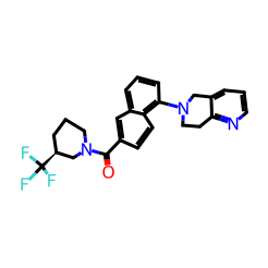 O=C(c1ccc2c(N3CCc4ncccc4C3)cccc2c1)N1CCC[C@H](C(F)(F)F)C1